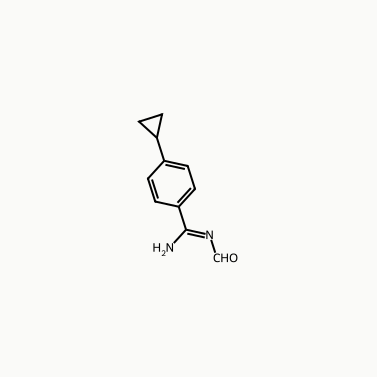 NC(=NC=O)c1ccc(C2CC2)cc1